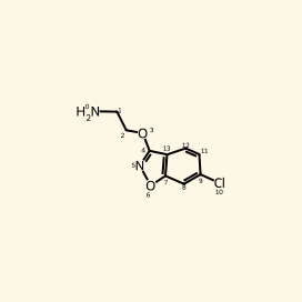 NCCOc1noc2cc(Cl)ccc12